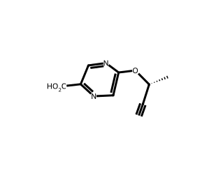 C#C[C@@H](C)Oc1cnc(C(=O)O)cn1